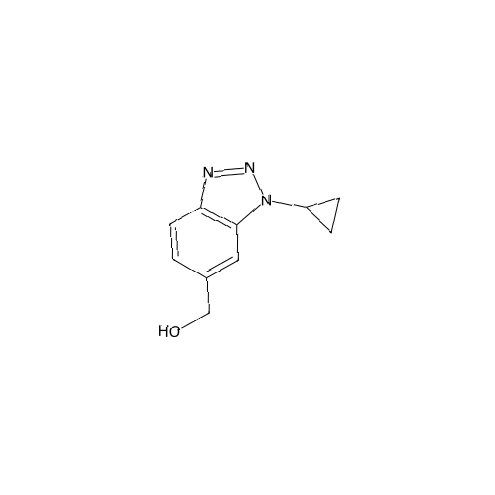 OCc1ccc2nnn(C3CC3)c2c1